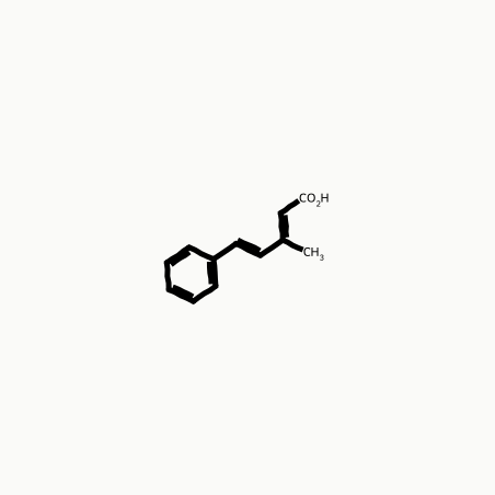 CC(C=Cc1ccccc1)=CC(=O)O